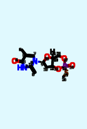 C=C1NC(=O)C(C)=CN1[C@H]1CC2OP(=O)(SC)OC[C@H]2O1